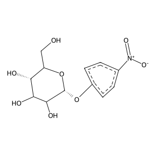 O=[N+]([O-])c1ccc(O[C@H]2OC(CO)[C@@H](O)C(O)C2O)cc1